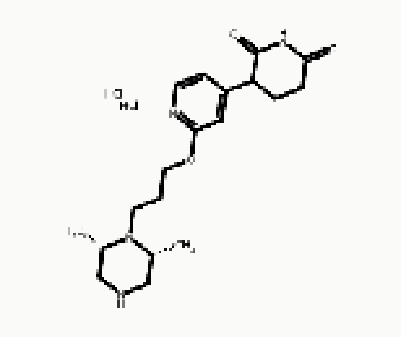 C[C@@H]1CNC[C@H](C)N1CCCOc1cc(C2CCC(=O)NC2=O)ccn1.Cl.Cl